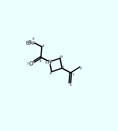 C=C(C)C1CN(C(=O)CC(C)(C)C)C1